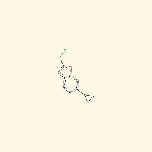 ClCc1cc2ccc(C3CC3)cc2s1